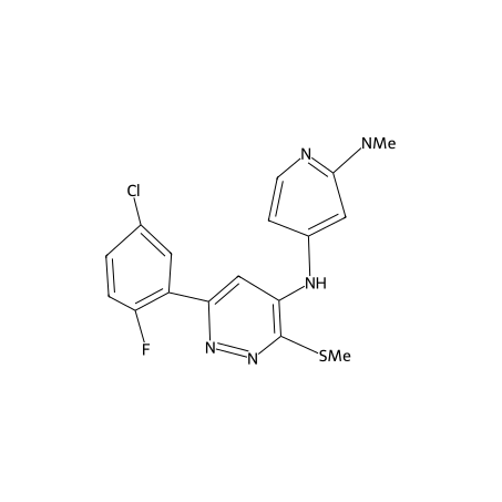 CNc1cc(Nc2cc(-c3cc(Cl)ccc3F)nnc2SC)ccn1